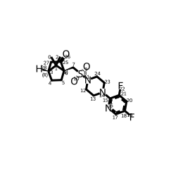 CC1(C)[C@@H]2CC[C@@]1(CS(=O)(=O)N1CCN(c3ncc(F)cc3F)CC1)C(=O)C2